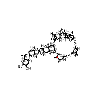 C=C1C[C@@H]2CC[C@@]34C[C@H]5O[C@H]6[C@@H](O3)[C@H]3O[C@H](CC[C@@H]3O[C@H]6[C@H]5O4)CC(=O)O[C@@H]3[C@@H](C)[C@@H]4O[C@@H]5C[C@]6(C[C@@H]7O[C@]8(C[C@H](C)[C@@H]9O[C@H](CC)[C@H](O)C[C@@H]9O8)C[C@H](C)[C@@H]7O6)O[C@@H]5C[C@@H]4O[C@H]3C[C@H]3O[C@@H](CC[C@@H]1O2)C[C@@H](C)C3=C